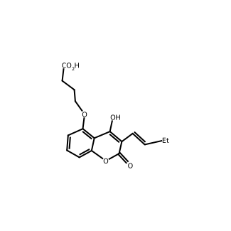 CCC=Cc1c(O)c2c(OCCCC(=O)O)cccc2oc1=O